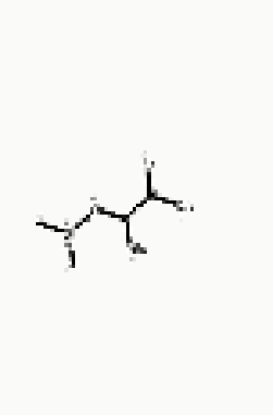 CCC(O)C(O[SiH](C)C)C(C)(C)C